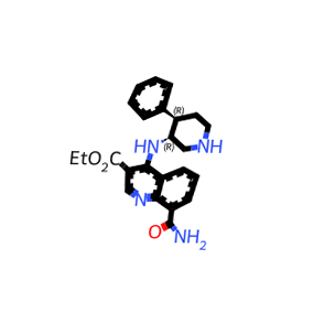 CCOC(=O)c1cnc2c(C(N)=O)cccc2c1N[C@H]1CNCC[C@@H]1c1ccccc1